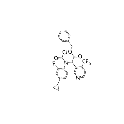 O=C(OCc1ccccc1)C(c1cnccc1C(F)(F)F)N(C(=O)Cl)c1ccc(C2CC2)cc1F